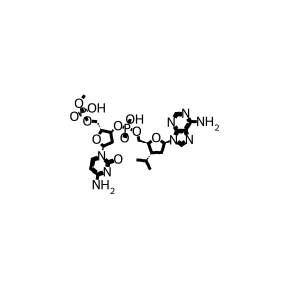 COP(=O)(O)OC[C@H]1O[C@@H](n2ccc(N)nc2=O)C[C@@H]1OP(=O)(O)OC[C@H]1O[C@@H](n2cnc3c(N)ncnc32)C[C@@H]1C(C)C